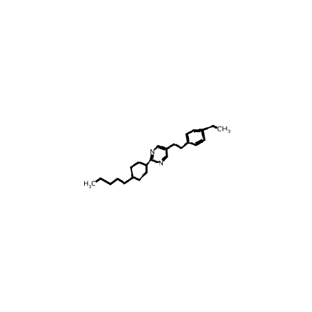 CCCCCC1CCC(c2ncc(CCc3ccc(CC)cc3)cn2)CC1